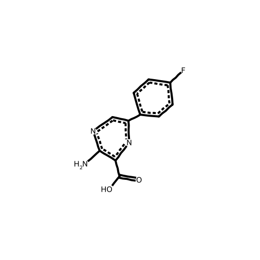 Nc1ncc(-c2ccc(F)cc2)nc1C(=O)O